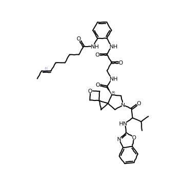 C/C=C/CCCCC(=O)Nc1ccccc1NC(=O)C(=O)CNC(=O)[C@H]1CN(C(=O)C(Nc2nc3ccccc3o2)C(C)C)CC12CC21COC1